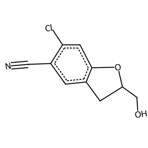 N#Cc1cc2c(cc1Cl)OC(CO)C2